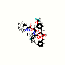 CN[C@@H](CC(C)C)C(=O)O[C@H](C)C(=O)N(C)[C@H](CC(C)(C)F)C(=O)O[C@H](Cc1ccc(OC(F)(F)F)cc1)C(=O)OCc1ccccc1